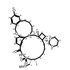 COC[C@H]1[C@@H](C)CCC[C@@H](C2OCCCO2)[C@@H]2CC[C@H]2CN2CCCCc3cc(Cl)ccc3COc3ccc(cc32)C(=O)NS1(=O)=O